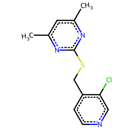 Cc1cc(C)nc(SCc2ccncc2Cl)n1